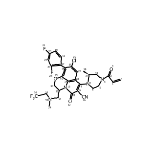 C=CC(=O)N1CCN(c2c(C#N)c(=O)n3c4c(c(-c5ccc(F)cc5F)c(Cl)cc24)OCC3CN(C)CC(F)(F)F)[C@@H](C)C1